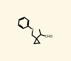 CC(C=O)C1(CSc2ccccc2)CC1